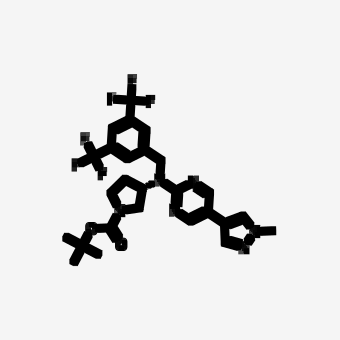 Cn1cc(-c2cnc(N(Cc3cc(C(F)(F)F)cc(C(F)(F)F)c3)[C@H]3CCN(C(=O)OC(C)(C)C)C3)nc2)cn1